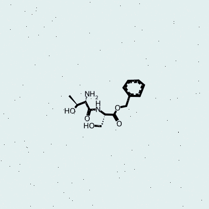 C[C@H](O)[C@H](N)C(=O)N[C@@H](CO)C(=O)OCc1ccccc1